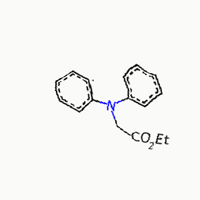 CCOC(=O)CN(c1[c]cccc1)c1ccccc1